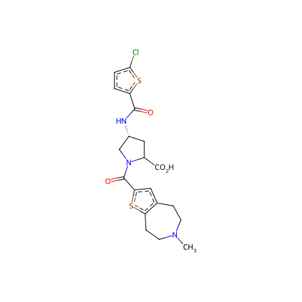 CN1CCc2cc(C(=O)N3C[C@H](NC(=O)c4ccc(Cl)s4)CC3C(=O)O)sc2CC1